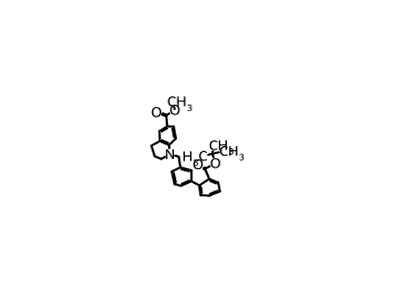 COC(=O)c1ccc2c(c1)CCCN2Cc1cccc(-c2ccccc2C(=O)OC(C)(C)C)c1